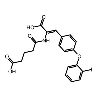 O=C(O)CCCC(=O)N/C(=C\c1ccc(Oc2ccccc2I)cc1)C(=O)O